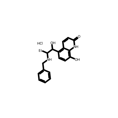 CCC(NCc1ccccc1)C(O)c1ccc(O)c2[nH]c(=O)ccc12.Cl